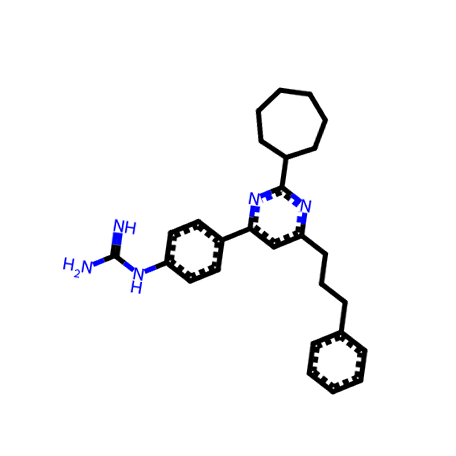 N=C(N)Nc1ccc(-c2cc(CCCc3ccccc3)nc(C3CCCCCC3)n2)cc1